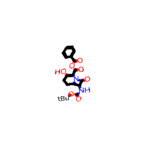 CC(C)(C)OC(=O)NC1C(=O)N2C(C(=O)OC(=O)c3ccccc3)=C(O)CCC12